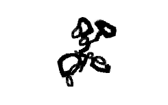 O=C1CCCC=CC[C@@H]2[C@@H](C=C[C@H](CCc3ccccc3)OC3CCCCO3)[C@H](OC3CCCCO3)C[C@@H]2O1